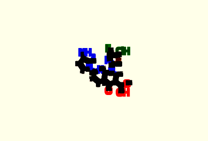 Cl.Nc1ccn(-c2ccc3c(=O)c(C(=O)O)cn(-c4nc(F)cs4)c3n2)c1